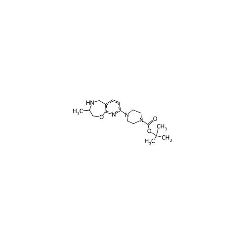 CC1COc2nc(N3CCN(C(=O)OC(C)(C)C)CC3)ccc2CN1